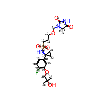 C[C@@H]1C(=O)NC(=O)N1COCCCS(=O)(=O)NC1(c2ccc(F)c(OCC(C)(C)O)c2)CC1